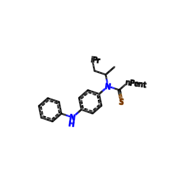 CCCCCC(=S)N(c1ccc(Nc2ccccc2)cc1)C(C)CC(C)C